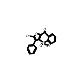 CC(C)c1oc2c(c1-c1ccccc1)P(=O)(C(C)C)c1ccccc1C2=O